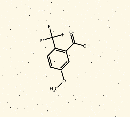 COc1ccc(C(F)(F)F)c(C(=O)O)c1